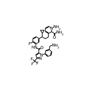 NCc1cccc(-n2nc(C(F)(F)F)cc2C(=O)Nc2cc(C(CCC3=CC=CN(N)C3C(N)=O)C3CC3)ccc2F)c1